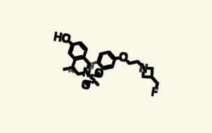 C[C@@H]1CN(S(C)(=O)=O)[C@@H](c2ccc(OCCN3CC(CF)C3)cc2)c2ccc(O)cc21